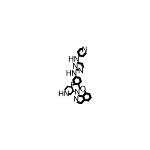 Cc1cccc2ccnc(N(C(=O)c3ccc(Nc4nccc(Nc5ccncc5)n4)cc3F)[C@@H]3CCCNC3)c12